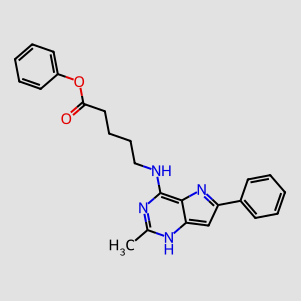 Cc1nc(NCCCCC(=O)Oc2ccccc2)c2nc(-c3ccccc3)cc-2[nH]1